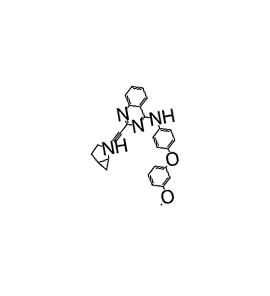 C#Cc1nc(Nc2ccc(Oc3cccc(OC)c3)cc2)c2ccccc2n1.C1CC2CC2N1